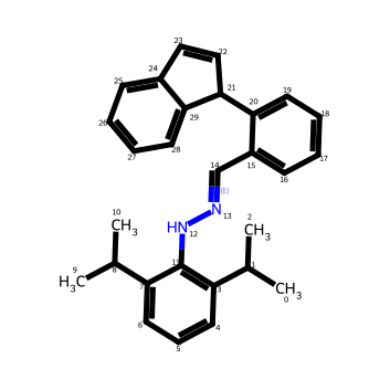 CC(C)c1cccc(C(C)C)c1N/N=C/c1ccccc1C1C=Cc2ccccc21